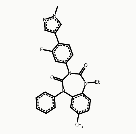 CCN1C(=O)N(c2ccc(-c3cnn(C)c3)c(F)c2)C(=O)N(c2ccccc2)c2cc(C(F)(F)F)ccc21